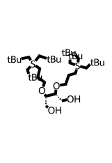 CC(C)(C)CS(CCCO[C@@H](CO)[C@@H](CO)OCCCS(CC(C)(C)C)(CC(C)(C)C)CC(C)(C)C)(CC(C)(C)C)CC(C)(C)C